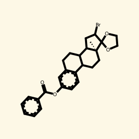 C[C@]12CCC3c4ccc(OC(=O)c5ccccc5)cc4CCC3C1CC(Br)C21OCCO1